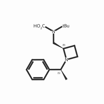 C[C@@H](c1ccccc1)N1CC[C@@H]1CN(C(=O)O)C(C)(C)C